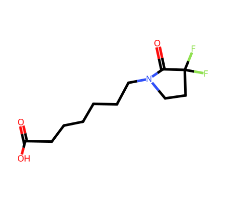 O=C(O)CCCCCCN1CCC(F)(F)C1=O